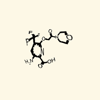 Nc1cc(C(F)(F)F)c(OCC(=O)N2CCOCC2)nc1C(=O)O